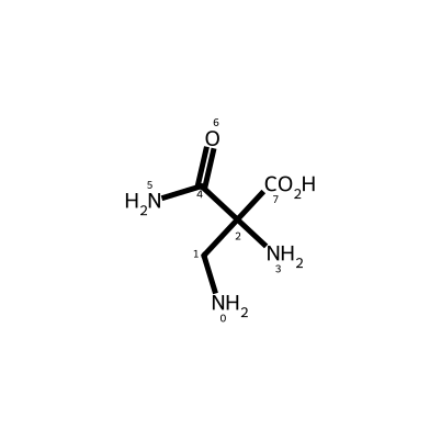 NCC(N)(C(N)=O)C(=O)O